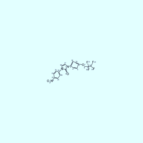 O=c1n(-c2ccc(OCC(F)(F)C(F)F)cc2)ccn1-c1ccc([N+](=O)[O-])cc1